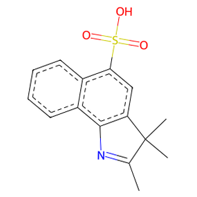 CC1=Nc2c(cc(S(=O)(=O)O)c3ccccc23)C1(C)C